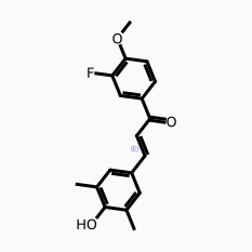 COc1ccc(C(=O)/C=C/c2cc(C)c(O)c(C)c2)cc1F